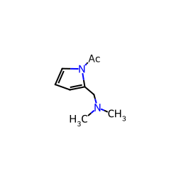 CC(=O)n1cccc1CN(C)C